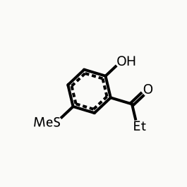 CCC(=O)c1cc(SC)ccc1O